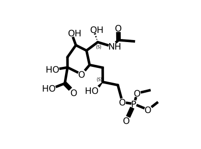 COP(=O)(OC)OC[C@@H](O)CC1OC(O)(C(=O)O)CC(O)C1[C@H](O)NC(C)=O